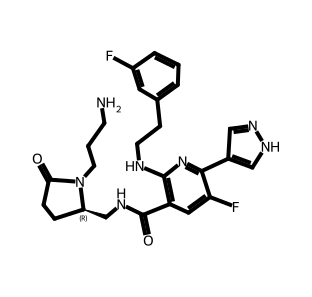 NCCCN1C(=O)CC[C@@H]1CNC(=O)c1cc(F)c(-c2cn[nH]c2)nc1NCCc1cccc(F)c1